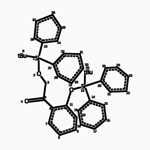 CC(C)(C)[Si](OCC(=O)c1ccccc1O[Si](c1ccccc1)(c1ccccc1)C(C)(C)C)(c1ccccc1)c1ccccc1